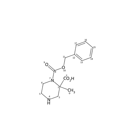 CC1(C(=O)O)CNCCN1C(=O)OCc1ccccc1